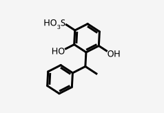 CC(c1ccccc1)c1c(O)ccc(S(=O)(=O)O)c1O